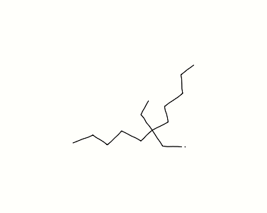 [CH2]CC(CC)(CCCCC)CCCCC